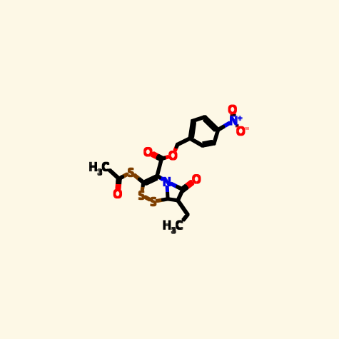 CCC1C(=O)N2C(C(=O)OCc3ccc([N+](=O)[O-])cc3)=C(SC(C)=O)SSC12